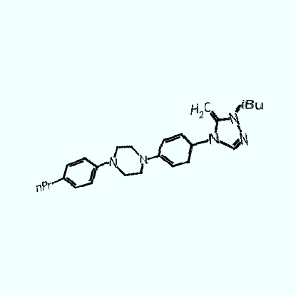 C=C1N(C2C=CC(N3CCN(c4ccc(CCC)cc4)CC3)=CC2)C=NN1C(C)CC